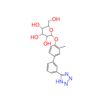 Cc1cc(-c2cccc(-c3nnn[nH]3)c2)ccc1OC1OC(CO)C(O)C(O)C1O